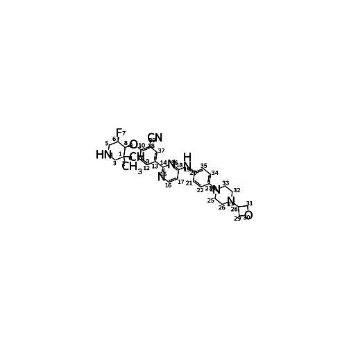 CC1(C)CNC[C@@H](F)[C@H]1Oc1ccc(-c2nccc(Nc3ccc(N4CCN(C5COC5)CC4)cc3)n2)cc1C#N